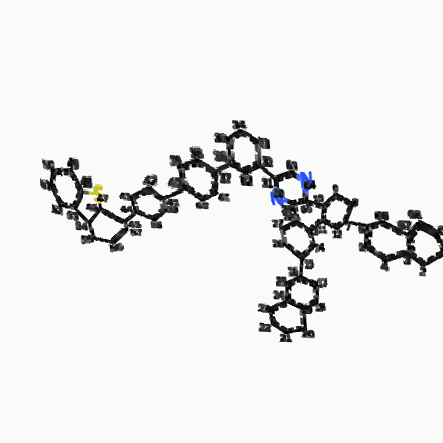 c1ccc2ccc(-c3ccc4c(c3)c3cc(-c5ccc6ccccc6c5)ccc3c3nc(-c5cccc(-c6ccc(-c7ccc(C8=C9Sc%10ccccc%10C9CC=C8)cc7)cc6)c5)cnc43)cc2c#1